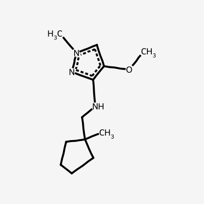 COc1cn(C)nc1NCC1(C)CCCC1